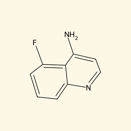 Nc1ccnc2cccc(F)c12